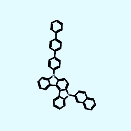 c1ccc(-c2ccc(-c3ccc(-n4c5ccccc5c5c6c7ccccc7n(-c7ccc8ccccc8c7)c6ccc54)cc3)cc2)cc1